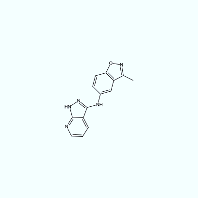 Cc1noc2ccc(Nc3n[nH]c4ncccc34)cc12